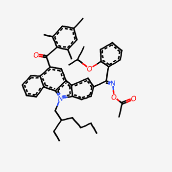 CCCCC(CC)Cn1c2ccc(/C(=N\OC(C)=O)c3ccccc3OC(C)C)cc2c2cc(C(=O)c3c(C)cc(C)cc3C)c3ccccc3c21